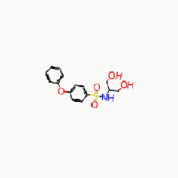 O=S(=O)(NC(CO)CO)c1ccc(Oc2ccccc2)cc1